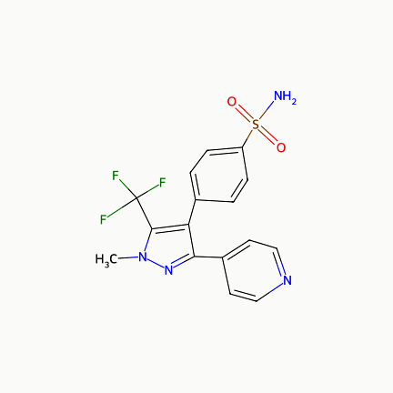 Cn1nc(-c2ccncc2)c(-c2ccc(S(N)(=O)=O)cc2)c1C(F)(F)F